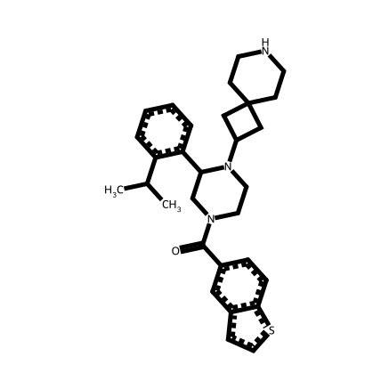 CC(C)c1ccccc1C1CN(C(=O)c2ccc3sccc3c2)CCN1C1CC2(CCNCC2)C1